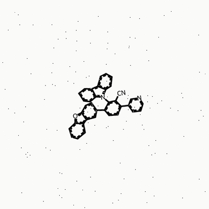 N#Cc1c(-c2cccnc2)ccc(-c2ccc3oc4ccccc4c3c2)c1-n1c2ccccc2c2ccccc21